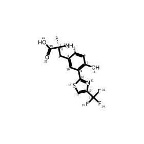 C[C@](N)(Cc1ccc(O)c(-c2nc(C(F)(F)F)cs2)c1)C(=O)O